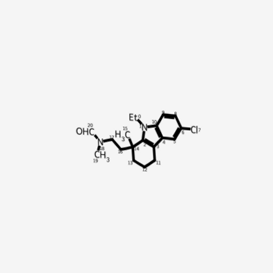 CCn1c2c(c3cc(Cl)ccc31)CCCC2(C)CCN(C)C=O